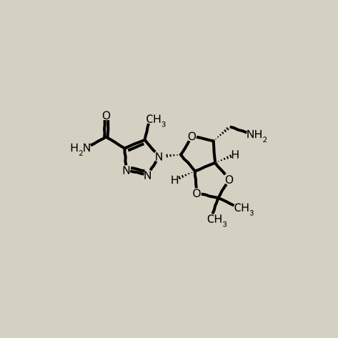 Cc1c(C(N)=O)nnn1[C@@H]1O[C@H](CN)[C@H]2OC(C)(C)O[C@H]21